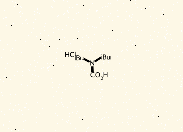 CCC(C)N(C(=O)O)C(C)CC.Cl